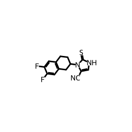 N#Cc1c[nH]c(=S)n1C1CCc2cc(F)c(F)cc2C1